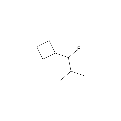 CC(C)C(F)C1CCC1